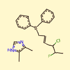 CC(F)C(Cl)C=CCB(c1ccccc1)c1ccccc1.Cc1nc[nH]c1C